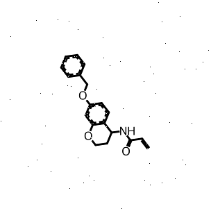 C=CC(=O)NC1CCOc2cc(OCc3ccccc3)ccc21